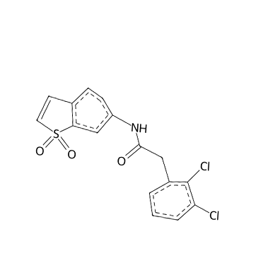 O=C(Cc1cccc(Cl)c1Cl)Nc1ccc2c(c1)S(=O)(=O)C=C2